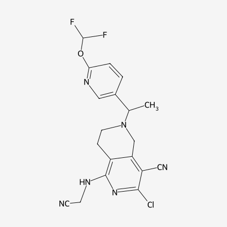 CC(c1ccc(OC(F)F)nc1)N1CCc2c(NCC#N)nc(Cl)c(C#N)c2C1